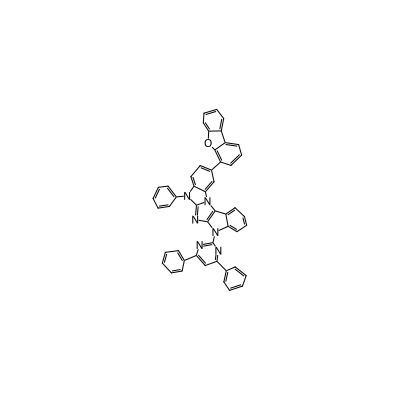 c1ccc(-c2cc(-c3ccccc3)nc(-n3c4ccccc4c4c3nc3n(-c5ccccc5)c5ccc(-c6cccc7c6oc6ccccc67)cc5n43)n2)cc1